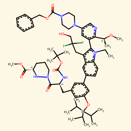 CCn1c(-c2cc(N3CCN(C(=O)OCc4ccccc4)CC3)cnc2[C@H](C)OC)c(CC(F)(F)CO)c2cc(-c3cc(C[C@H](NC(=O)OC(C)(C)C)C(=O)N4CCC[C@@H](C(=O)OC)N4)cc(O[Si](C(C)C)(C(C)C)C(C)C)c3)ccc21